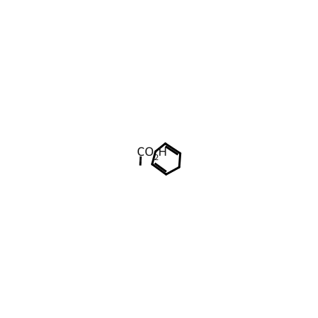 C1=CCC=CC1.CC(=O)O